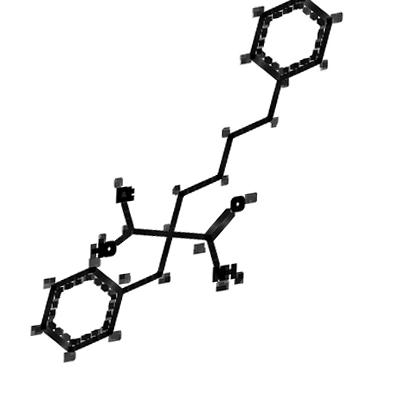 CCC(O)C(CCCCc1ccccc1)(Cc1ccccc1)C(N)=O